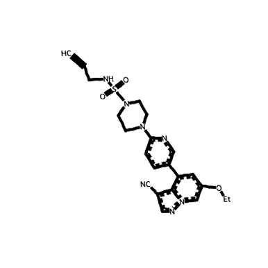 C#CCNS(=O)(=O)N1CCN(c2ccc(-c3cc(OCC)cn4ncc(C#N)c34)cn2)CC1